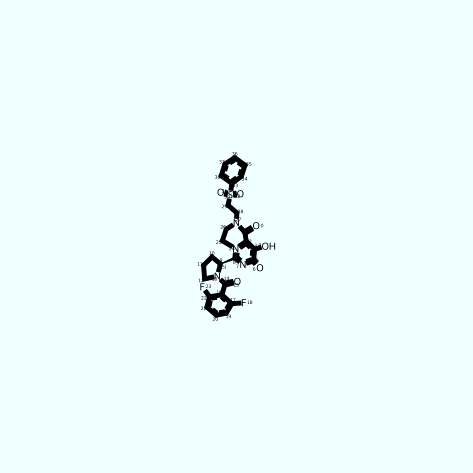 O=C1c2c(O)c(=O)nc([C@@H]3CCCN3C(=O)c3c(F)cccc3F)n2CCN1CCS(=O)(=O)c1ccccc1